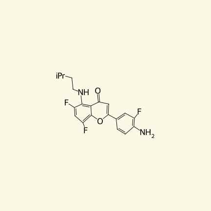 CC(C)CCNc1c(F)cc(F)c2oc(-c3ccc(N)c(F)c3)cc(=O)c12